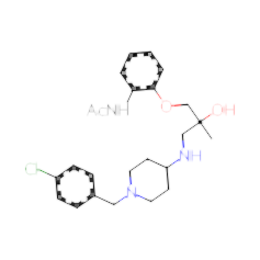 CC(=O)Nc1ccccc1OCC(C)(O)CNC1CCN(Cc2ccc(Cl)cc2)CC1